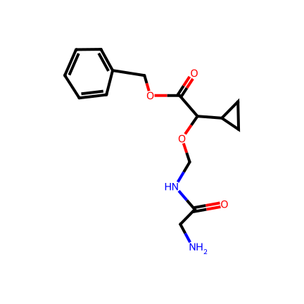 NCC(=O)NCOC(C(=O)OCc1ccccc1)C1CC1